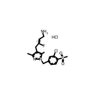 Cc1nn(Cc2ccc(S(C)(=O)=O)c(Cl)c2)c(C)c1C/C(F)=C/CN.Cl